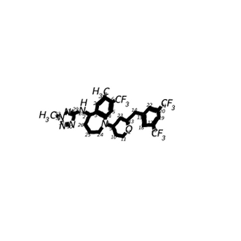 Cc1cc2c(cc1C(F)(F)F)N(C1CCOC(Cc3cc(C(F)(F)F)cc(C(F)(F)F)c3)C1)CCCC2Nc1nnn(C)n1